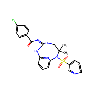 CC1(C)CN/C(=N/C(=O)c2ccc(Cl)cc2)Nc2cccc(n2)N1S(=O)(=O)c1cccnc1